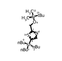 CCC[CH2][Sn]([CH2]CCC)([CH2]CCC)[c]1cnc(CO[Si](C)(C)C(C)(C)C)s1